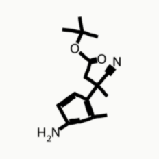 Cc1cc(N)ccc1C(C)(C#N)CC(=O)OC(C)(C)C